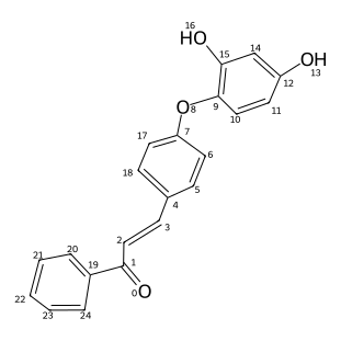 O=C(C=Cc1ccc(Oc2ccc(O)cc2O)cc1)c1ccccc1